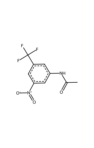 CC(=O)Nc1cc([N+](=O)[O-])cc(C(F)(F)F)c1